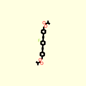 C=C(C)C(=O)OCc1ccc(C#Cc2ccc(C#Cc3ccc(COC(=O)C(=C)C)cc3)c(F)c2)cc1